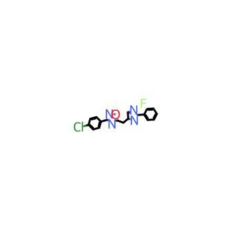 Fc1ccccc1C1=NC(Cc2nc(-c3ccc(Cl)cc3)no2)C=N1